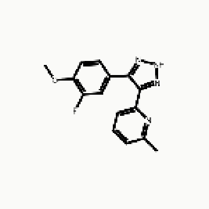 COc1ccc(-c2n[nH]nc2-c2cccc(C)n2)cc1F